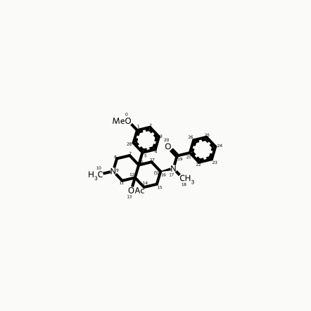 COc1cccc(C23CCN(C)CC2(OC(C)=O)CC[C@H](N(C)C(=O)c2ccccc2)C3)c1